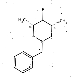 C[C@@H]1CN(Cc2ccccc2)C[C@H](C)C1F